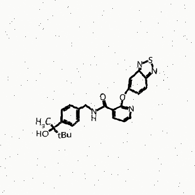 CC(C)(C)C(C)(O)c1ccc(CNC(=O)c2cccnc2Oc2ccc3nsnc3c2)cc1